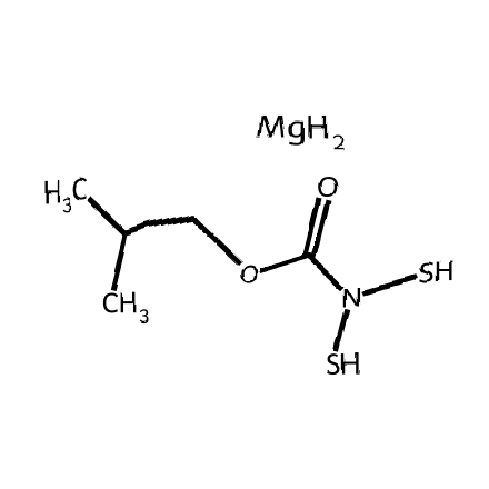 CC(C)COC(=O)N(S)S.[MgH2]